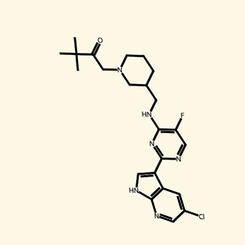 CC(C)(C)C(=O)CN1CCCC(CNc2nc(-c3c[nH]c4ncc(Cl)cc34)ncc2F)C1